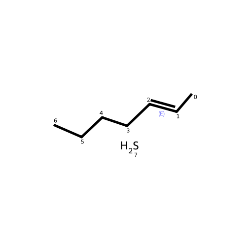 C/C=C/CCCC.S